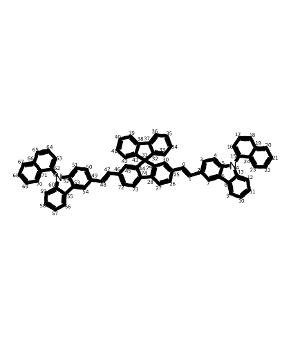 C(=C\c1ccc2c(c1)c1ccccc1n2-c1cccc2ccccc12)/c1ccc2c(c1)C1(c3ccccc3-c3ccccc31)c1cc(/C=C/c3ccc4c(c3)c3ccccc3n4-c3cccc4ccccc34)ccc1-2